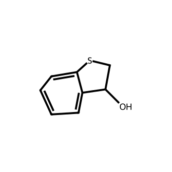 OC1CSc2ccccc21